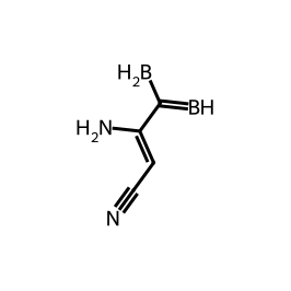 B=C(B)/C(N)=C/C#N